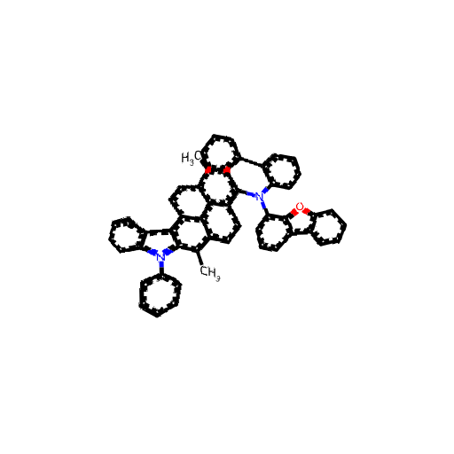 Cc1cc(N(c2ccccc2-c2ccccc2)c2cccc3c2oc2ccccc23)c2ccc3c(C)c4c(c5ccc1c2c35)c1ccccc1n4-c1ccccc1